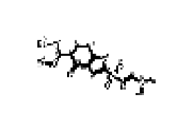 CCOC(OCC)C1CSc2sc(S(=O)(=O)N=CN(C)C)cc2C1=O